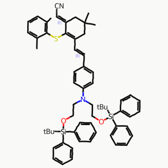 Cc1cccc(C)c1SC1=C(/C=C/c2ccc(N(CCO[Si](c3ccccc3)(c3ccccc3)C(C)(C)C)CCO[Si](c3ccccc3)(c3ccccc3)C(C)(C)C)cc2)CC(C)(C)C/C1=C\C#N